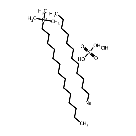 CCCCCCCCCCCCCC[N+](C)(C)C.CCCCCCCCCCC[CH2][Na].Cl.O=S(=O)(O)O